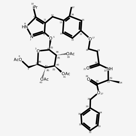 CC(=O)OC[C@H]1O[C@@H](Oc2n[nH]c(C(C)C)c2Cc2ccc(OCCC(=O)N[C@@H](C)C(=O)OCc3ccccc3)cc2C)[C@H](OC(C)=O)[C@@H](OC(C)=O)[C@@H]1OC(C)=O